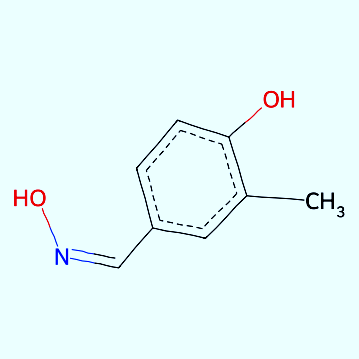 Cc1cc(/C=N\O)ccc1O